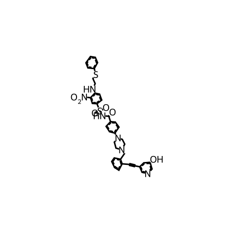 O=C(NS(=O)(=O)c1ccc(NCCSc2ccccc2)c([N+](=O)[O-])c1)c1ccc(N2CCN(Cc3ccccc3C#Cc3cncc(O)c3)CC2)cc1